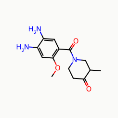 COc1cc(N)c(N)cc1C(=O)N1CCC(=O)C(C)C1